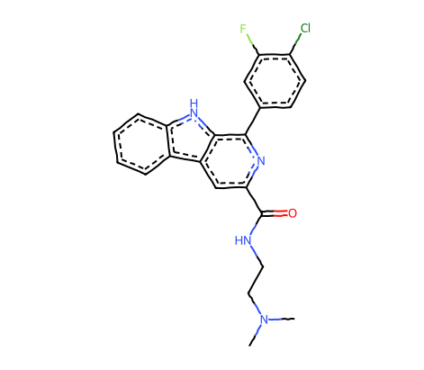 CN(C)CCNC(=O)c1cc2c([nH]c3ccccc32)c(-c2ccc(Cl)c(F)c2)n1